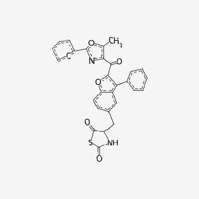 Cc1oc(-c2ccccc2)nc1C(=O)c1oc2ccc(CC3NC(=O)SC3=O)cc2c1-c1ccccc1